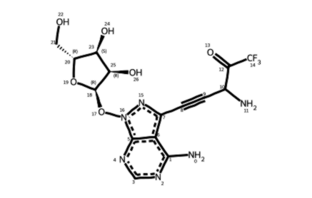 Nc1ncnc2c1c(C#CC(N)C(=O)C(F)(F)F)nn2O[C@H]1O[C@H](CO)[C@@H](O)[C@H]1O